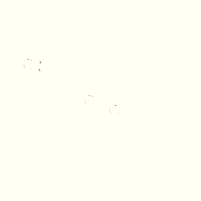 CCCCCC1CCC(C2CCC(C(=O)Oc3ccc(OC(=O)c4ccc(OCCCCCCCCOS(=O)(=O)c5ccc(C)cc5)cc4)cc3)CC2)CC1